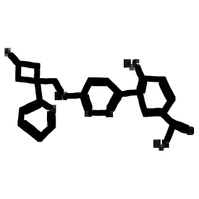 Cc1ccc(C(N)=O)cc1-c1ccc(NCC2(c3ccccn3)CC(F)C2)nn1